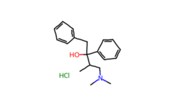 CC(CN(C)C)C(O)(Cc1ccccc1)c1ccccc1.Cl